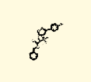 C[C@@](C[C@H]1CC(c2ccc(Br)cc2)=NO1)(C(=O)OCc1ccccc1)S(C)(=O)=O